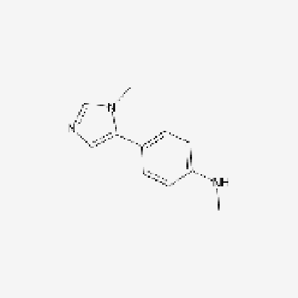 CNc1ccc(-c2cncn2C)cc1